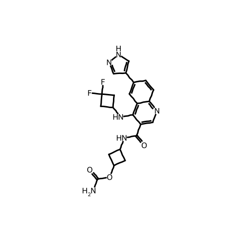 NC(=O)OC1CC(NC(=O)c2cnc3ccc(-c4cn[nH]c4)cc3c2NC2CC(F)(F)C2)C1